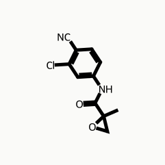 CC1(C(=O)Nc2ccc(C#N)c(Cl)c2)CO1